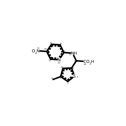 Cc1csc(C(Nc2ccc([N+](=O)[O-])cn2)C(=O)O)c1